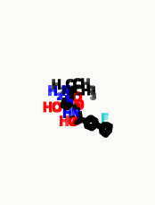 CC(C)(C)[C@H](N)C(=O)N1C[C@H](O)C[C@H]1C(=O)NC[C@H](CO)c1ccc(-c2ccccc2F)cc1